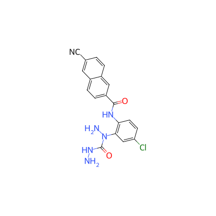 N#Cc1ccc2cc(C(=O)Nc3ccc(Cl)cc3N(N)C(=O)NN)ccc2c1